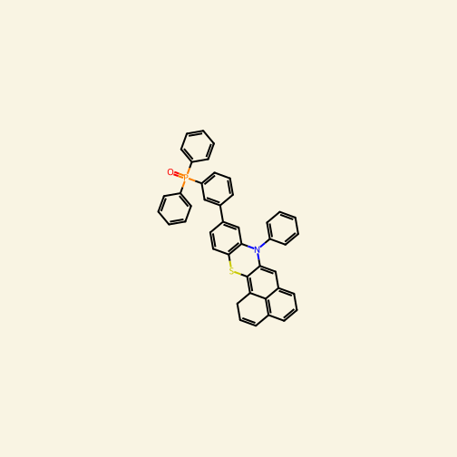 O=P(c1ccccc1)(c1ccccc1)c1cccc(-c2ccc3c(c2)N(c2ccccc2)c2cc4cccc5c4c(c2S3)CC=C5)c1